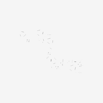 COc1cc(C(=O)N2CC=C(c3cccc(C(O)(C(=O)OCC4CCN(Cc5ccccc5)CC4)c4ccccc4)c3)CC2)ccc1CNC[C@H](O)c1ccc(O)c2[nH]c(=O)ccc12